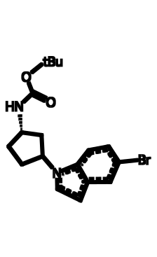 CC(C)(C)OC(=O)N[C@H]1CCC(n2ccc3cc(Br)ccc32)C1